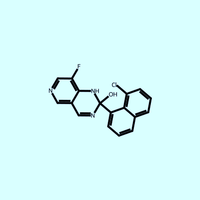 OC1(c2cccc3cccc(Cl)c23)N=Cc2cncc(F)c2N1